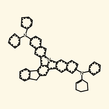 C1=C(N(c2ccccc2)c2ccc3cc4c(cc3c2)c2cc3c(c5c6cc7cc(N(c8ccccc8)c8ccccc8)ccc7cc6n4c25)-c2ccccc2C3)CCCC1